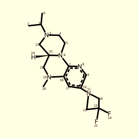 CC(C)N1CCN2c3ncc(N4CC(F)(F)C4)cc3N(C)C[C@@H]2C1